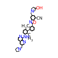 Cc1c(Nc2nccc3cc(CN4CCCC4)cnc23)cccc1-c1cccc(-c2nc3cc(CN4CC[C@@H](O)C4)cc(C#N)c3o2)c1C